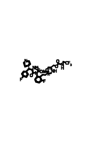 COC(=O)N(C(=O)[C@@H](N)[C@@H](c1ccncc1)c1ccc(F)cc1)c1cccc(F)c1CC[C@@H]1CN[C@H](COC(=O)NCC(F)(F)F)CO1